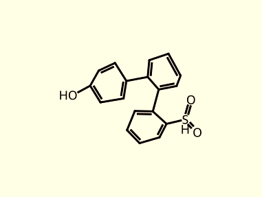 O=[SH](=O)c1ccccc1-c1ccccc1-c1ccc(O)cc1